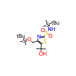 CC(C)(O)c1sc(S(=O)(=O)N[Si](C)(C)C(C)(C)C)nc1CO[Si](C)(C)C(C)(C)C